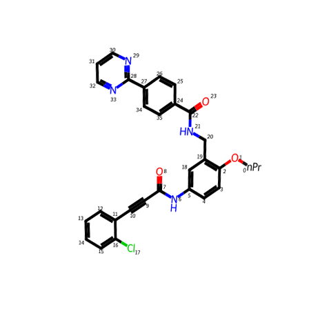 CCCOc1ccc(NC(=O)C#Cc2ccccc2Cl)cc1CNC(=O)c1ccc(-c2ncccn2)cc1